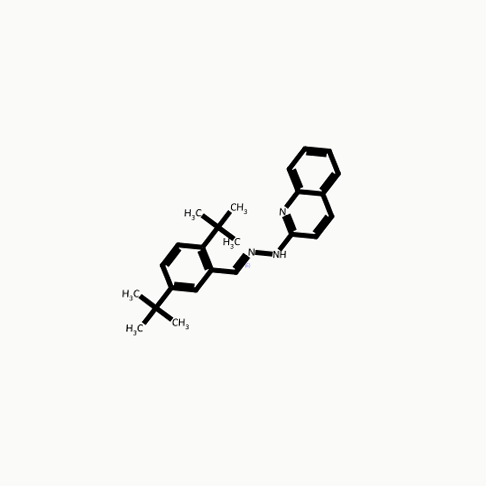 CC(C)(C)c1ccc(C(C)(C)C)c(/C=N/Nc2ccc3ccccc3n2)c1